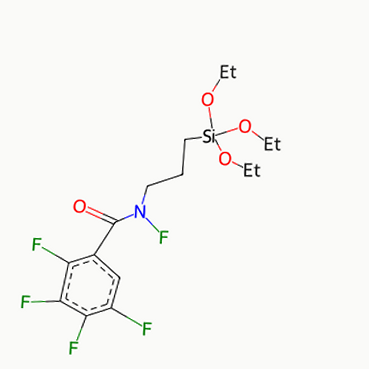 CCO[Si](CCCN(F)C(=O)c1cc(F)c(F)c(F)c1F)(OCC)OCC